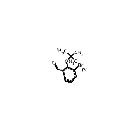 CC(C)(C)Oc1c(Br)cccc1C=O.[Pt]